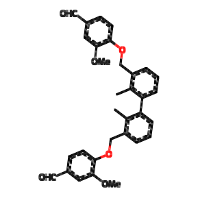 COc1cc(C=O)ccc1OCc1cccc(-c2cccc(COc3ccc(C=O)cc3OC)c2C)c1C